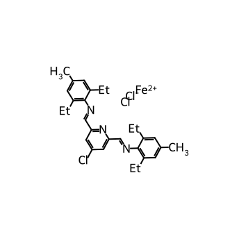 CCc1cc(C)cc(CC)c1N=Cc1cc(Cl)cc(C=Nc2c(CC)cc(C)cc2CC)n1.[Cl-].[Cl-].[Fe+2]